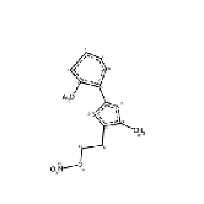 CC(=O)Oc1ccccc1-c1nc(C)c(CCO[N+](=O)[O-])s1